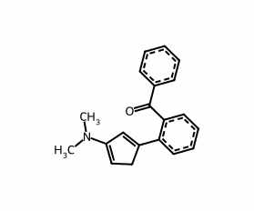 CN(C)C1=CCC(c2ccccc2C(=O)c2ccccc2)=C1